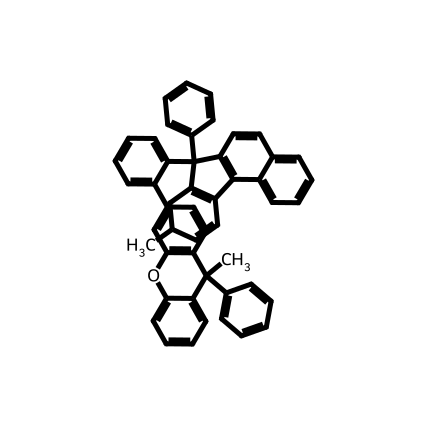 CC1C=CC2=C(C1)C(c1ccccc1)(c1ccccc1-c1ccc3c(c1)Oc1ccccc1C3(C)c1ccccc1)c1ccc3ccccc3c12